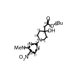 CNc1nc(N2CCC(O)(CC(=O)OC(C)(C)C)CC2)ncc1[N+](=O)[O-]